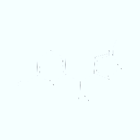 Cn1cc(C(C#N)c2cccc(Cl)n2)cn1